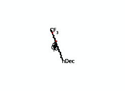 CCCCCCCCCCCCCCCCCCCCC(CCCCCCCCCCC(F)(F)F)S(=O)(=O)OF